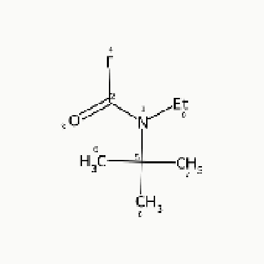 CCN(C(=O)F)C(C)(C)C